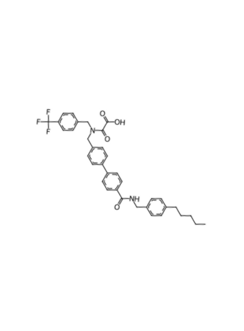 CCCCCc1ccc(CNC(=O)c2ccc(-c3ccc(CN(Cc4ccc(C(F)(F)F)cc4)C(=O)C(=O)O)cc3)cc2)cc1